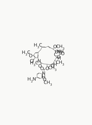 COc1cc(N)ccc1NC(=O)O[C@H]1CC(=O)N(C)c2cc(cc(OC)c2Cl)C/C(C)=C/C=C/[C@@H](OC)[C@@]2(O)C[C@H](OC(=O)N2)[C@@H](C)[C@@H]2O[C@@]12C